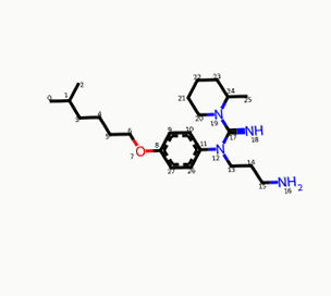 CC(C)CCCCOc1ccc(N(CCCN)C(=N)N2CCCCC2C)cc1